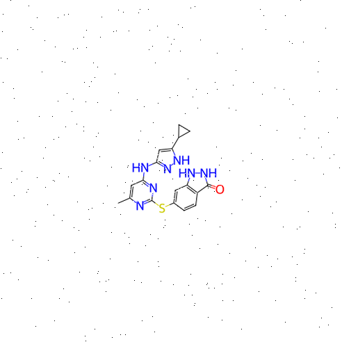 Cc1cc(Nc2cc(C3CC3)[nH]n2)nc(Sc2ccc3c(=O)[nH][nH]c3c2)n1